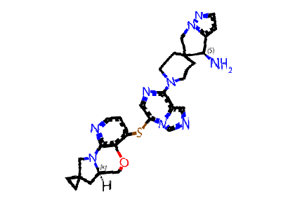 N[C@@H]1c2ccnn2CC12CCN(c1ncc(Sc3ccnc4c3OC[C@H]3CC5(CC5)CN43)n3cncc13)CC2